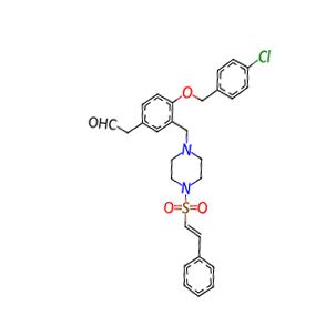 O=CCc1ccc(OCc2ccc(Cl)cc2)c(CN2CCN(S(=O)(=O)C=Cc3ccccc3)CC2)c1